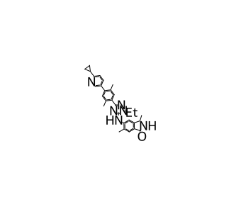 CCn1nc(-c2cc(C)c(-c3ccc(C4CC4)nc3)cc2C)nc1Nc1cc2c(cc1C)C(=O)NC2C